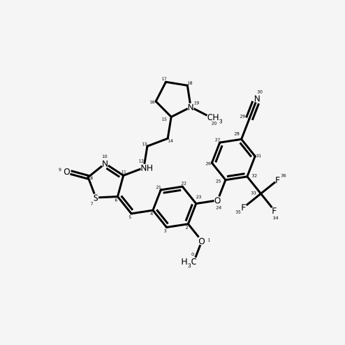 COc1cc(C=C2SC(=O)N=C2NCCC2CCCN2C)ccc1Oc1ccc(C#N)cc1C(F)(F)F